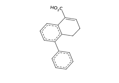 O=C(O)C1=CCCc2c1cccc2-c1ccccc1